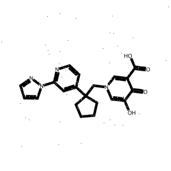 O=C(O)c1cn(CC2(c3ccnc(-n4cccn4)c3)CCCC2)cc(O)c1=O